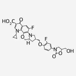 O=C(O)c1cn(C2CC2)c2c3c(c(F)cc2c1=O)N1C[C@@H](COc2ccc(N4CC(CO)OC4=O)cc2F)C[C@H]1CO3